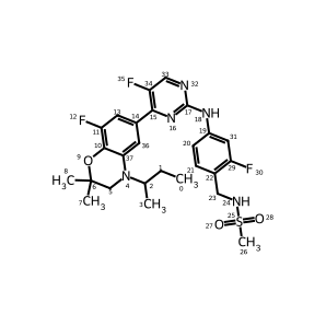 CCC(C)N1CC(C)(C)Oc2c(F)cc(-c3nc(Nc4ccc(CNS(C)(=O)=O)c(F)c4)ncc3F)cc21